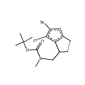 CN(CC1CCc2sc(Br)c(Cl)c21)C(=O)OC(C)(C)C